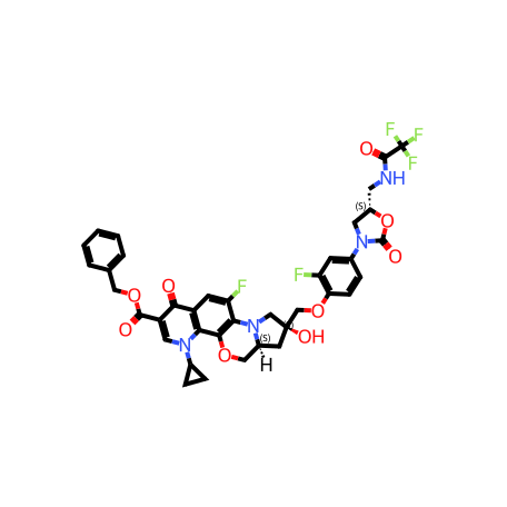 O=C(OCc1ccccc1)c1cn(C2CC2)c2c3c(c(F)cc2c1=O)N1C[C@](O)(COc2ccc(N4C[C@H](CNC(=O)C(F)(F)F)OC4=O)cc2F)C[C@H]1CO3